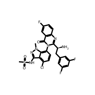 Cn1nc(NS(C)(=O)=O)c2c(Cl)ccc(-n3c([C@@H](N)Cc4cc(F)cc(F)c4)nc4ccc(F)cc4c3=O)c21